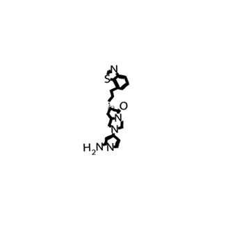 Nc1cc(N2CCN3C(=O)[C@@H](CCCc4cccc5ncsc45)CC3C2)ccn1